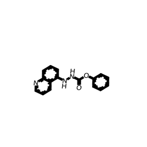 O=C(NNc1cccc2ncccc12)Oc1ccccc1